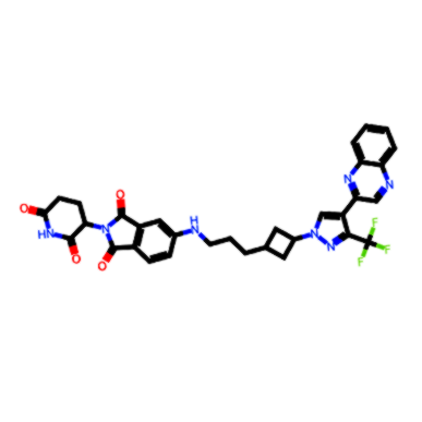 O=C1CCC(N2C(=O)c3ccc(NCCCC4CC(n5cc(-c6cnc7ccccc7n6)c(C(F)(F)F)n5)C4)cc3C2=O)C(=O)N1